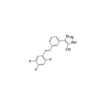 N#Cc1[nH]nnc1-c1cccc(/C=C/c2cc(F)c(F)cc2F)c1